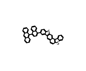 c1ccc2c(-c3ccc(-c4ccc5sc6cc7c(ccc8sc9ccccc9c87)cc6c5c4)c4ccccc34)c3ccccc3cc2c1